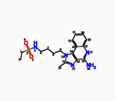 CCS(=O)(=O)NCCCCn1c(C)nc2c(N)nc3ccccc3c21